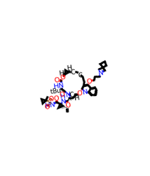 C=C[C@@H]1C[C@]1(NC(=O)[C@@H]1C[C@@H]2CN1C(=O)[C@H](C(C)(C)C)NC(=O)O[C@@H]1C[C@H]1CCCCCc1c(nc3ccccc3c1OCCCN1CC3(CCC3)C1)O2)C(=O)NS(=O)(=O)C1(C)CC1